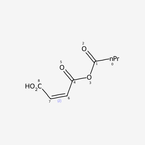 CCCC(=O)OC(=O)/C=C\C(=O)O